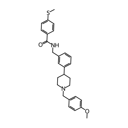 COc1ccc(CN2CCC(c3cccc(CNC(=O)c4ccc(SC)cc4)c3)CC2)cc1